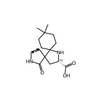 CC1(C)CCC2(CC1)N[C@H](C(=O)O)CC21C(=O)Nc2ccccc21